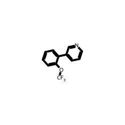 FC(F)(F)Oc1ccccc1-c1cccnc1